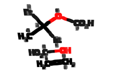 C=C.CCC(C)(CC)OC(=O)O.O=C(O)O